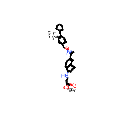 C/C(=N\OCc1ccc(C2CCCCC2)c(C(F)(F)F)c1)c1ccc2c(c1)CCC2NCCC(=O)OC(C)C